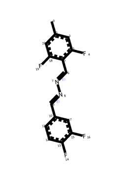 Cc1cc(F)c(/C=N/N=C/c2ccc(F)c(F)c2)c(F)c1